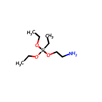 CCO[Si](CC)(OCC)OCCN